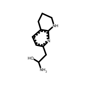 NC(O)Cc1ccc2c(n1)NCCC2